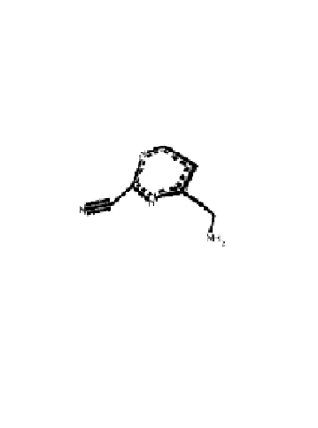 N#Cc1nccc(CN)n1